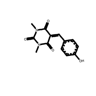 CN1C(=O)C(=Cc2ccc(O)cc2)C(=O)N(C)C1=O